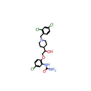 NC(=O)Nc1cc(Cl)ccc1OCC(O)C1CCN(Cc2ccc(Cl)cc2Cl)CC1